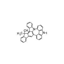 CC1(C)c2ccccc2-c2cc3c4cccc5c4c4c(cccc4n4c6ccccc6c(c21)c34)n5I